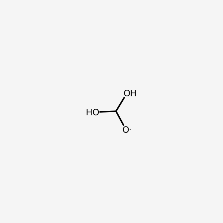 [O]C(O)O